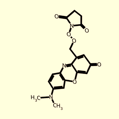 CN(C)c1ccc2nc3c(COON4C(=O)CCC4=O)cc(=O)cc-3oc2c1